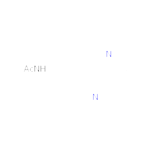 CC(=O)NCc1cn[c]cn1